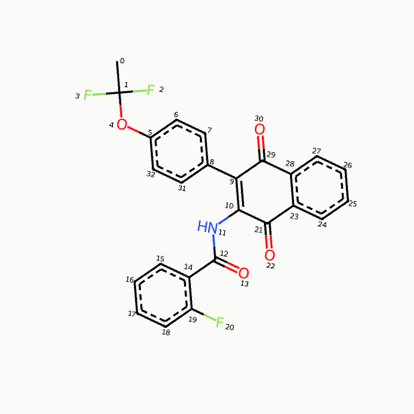 CC(F)(F)Oc1ccc(C2=C(NC(=O)c3ccccc3F)C(=O)c3ccccc3C2=O)cc1